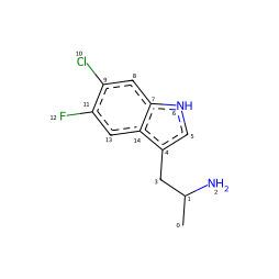 CC(N)Cc1c[nH]c2cc(Cl)c(F)cc12